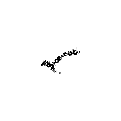 CCCS(=O)(=O)Nc1cccc(-c2nc(C3CCC4(CC3)CCN(CC[C@H]3CCN(c5ccc([C@@H]6CCC(=O)NC6=O)cn5)C3)CC4)sc2-c2ccnc(N)n2)c1F